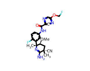 CO[C@H]1C[C@](C)(C#N)C(N)=N[C@]1(C)c1cc(NC(=O)c2cnc(OCF)cn2)ccc1F